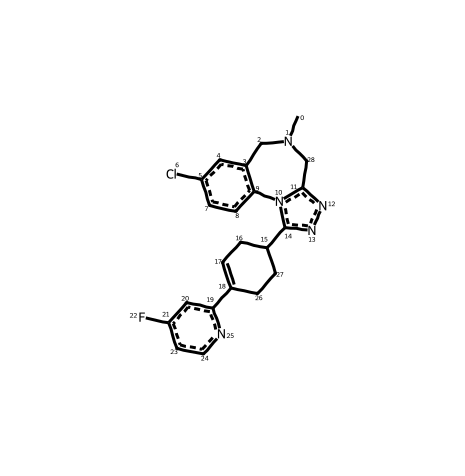 CN1Cc2cc(Cl)ccc2-n2c(nnc2C2CC=C(c3cc(F)ccn3)CC2)C1